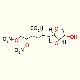 O=C(O)[C@@H](CCC(CO[N+](=O)[O-])O[N+](=O)[O-])[C@@H]1CO[C@H]2[C@@H]1OC[C@H]2O